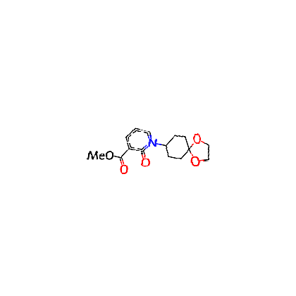 COC(=O)c1cccn(C2CCC3(CC2)OCCO3)c1=O